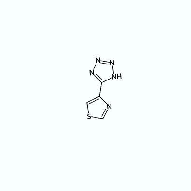 c1nc(-c2nnn[nH]2)cs1